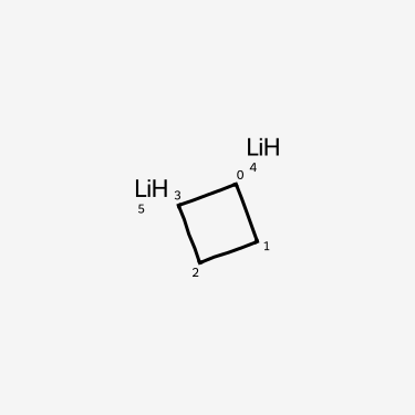 C1CCC1.[LiH].[LiH]